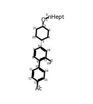 CCCCCCCO[C@H]1CC[C@H](c2ccc(-c3ccc(C(C)=O)cc3)c(F)c2)CC1